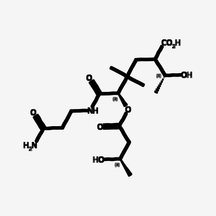 C[C@@H](O)CC(=O)O[C@@H](C(=O)NCCC(N)=O)C(C)(C)CC(C(=O)O)[C@@H](C)O